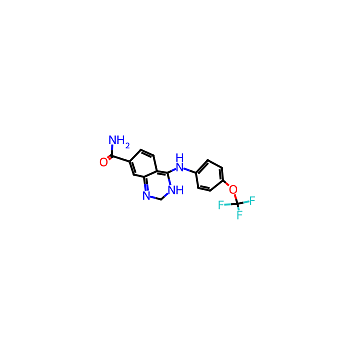 NC(=O)c1ccc2c(c1)=NCNC=2Nc1ccc(OC(F)(F)F)cc1